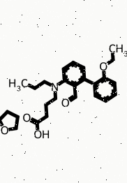 C1CCOC1.CCCN(CCCC(=O)O)c1cccc(-c2ccccc2OCC)c1C=O